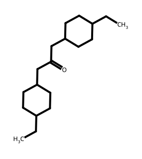 CCC1CCC(CC(=O)CC2CCC(CC)CC2)CC1